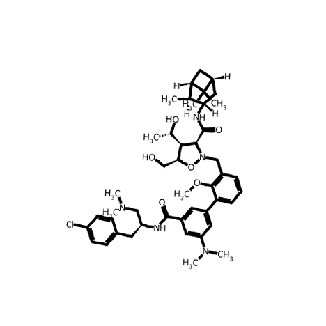 COc1c(CN2O[C@@H](CO)[C@@H]([C@H](C)O)[C@H]2C(=O)N[C@H]2C[C@H]3C[C@@H]([C@@H]2C)C3(C)C)cccc1-c1cc(C(=O)N[C@@H](Cc2ccc(Cl)cc2)CN(C)C)cc(N(C)C)c1